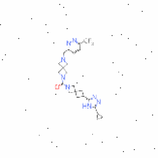 O=C(N1CC2(CC(c3nnc(C4CC4)[nH]3)C2)C1)N1CC2(CN(Cc3ccc(C(F)(F)F)nn3)C2)C1